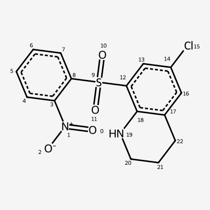 O=[N+]([O-])c1ccccc1S(=O)(=O)c1cc(Cl)cc2c1NCCC2